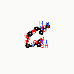 O=C(NC(c1ccccc1)c1cccc(OCc2ccc(C(=O)OCCOc3cccc(CNCC(O)c4ccc(O)c5[nH]c(=O)ccc45)c3)cc2)c1)O[C@H]1CN2CCC1CC2